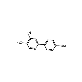 CCC(C)c1ccc(-c2cc(C#N)c(O)cn2)cc1